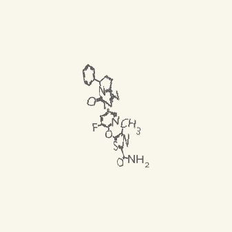 Cc1nc(C(N)=O)sc1Oc1ncc(-n2nc3n(c2=O)C(c2ccccc2)CC3)cc1F